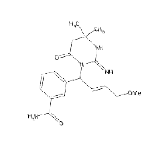 COC/C=C/C(c1cccc(C(N)=O)c1)N1C(=N)NC(C)(C)CC1=O